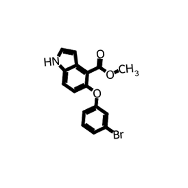 COC(=O)c1c(Oc2cccc(Br)c2)ccc2[nH]ccc12